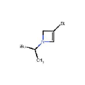 CCC1=CN(C(C)C(C)CC)C1